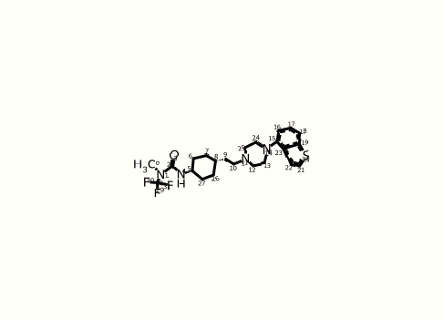 CN(C(=O)N[C@H]1CC[C@H](CCN2CCN(c3cccc4sccc34)CC2)CC1)C(F)(F)F